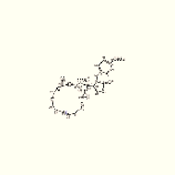 COc1ccc(CN2C(=O)SC[C@H]2[C@@]2(OC)CC3C[C@@H](CCC/C=C/CCCCCC(=O)O3)O2)cc1